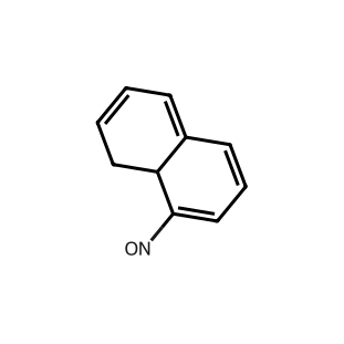 O=NC1=CC=CC2=CC=CCC21